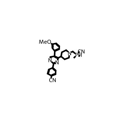 COc1cccc(-c2cnc(-c3ccc(C#N)cc3)nc2C2CCN(C[PH](C)(C)C#N)CC2)c1